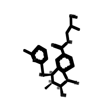 COC(C)CNC(=O)c1ccc2c(c1)[C@H](Nc1cccc(C)n1)[C@@H](C)[C@H](O)N2C(C)=O